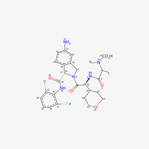 CC(C(=O)N[C@H](C(=O)N1Cc2cc(N)ccc2[C@H]1C(=O)Nc1c(F)cccc1F)C1CCOCC1)N(C)C(=O)O